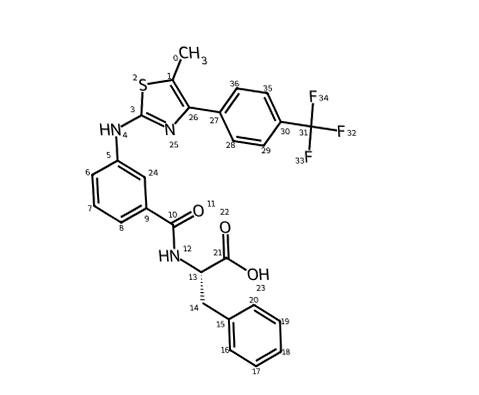 Cc1sc(Nc2cccc(C(=O)N[C@@H](Cc3ccccc3)C(=O)O)c2)nc1-c1ccc(C(F)(F)F)cc1